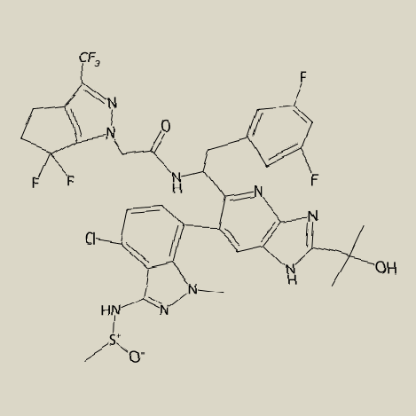 Cn1nc(N[S+](C)[O-])c2c(Cl)ccc(-c3cc4[nH]c(C(C)(C)O)nc4nc3C(Cc3cc(F)cc(F)c3)NC(=O)Cn3nc(C(F)(F)F)c4c3C(F)(F)CC4)c21